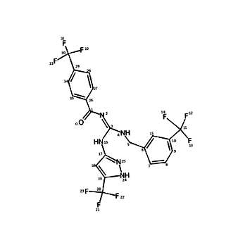 O=C(/N=C(/NCc1cccc(C(F)(F)F)c1)Nc1cc(C(F)(F)F)[nH]n1)c1ccc(C(F)(F)F)cc1